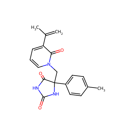 C=C(C)c1cccn(CC2(c3ccc(C)cc3)NC(=O)NC2=O)c1=O